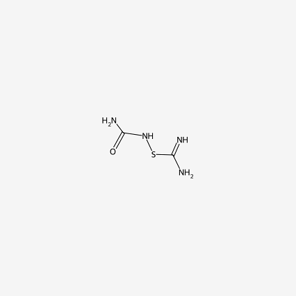 N=C(N)SNC(N)=O